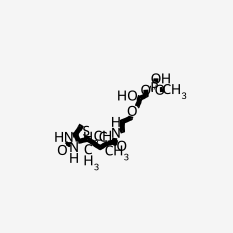 COP(O)OCC(O)COCCCNC(=O)C(C)(C)CC(C)(C)C1SCC2NC(=O)NC21